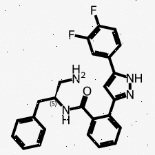 NC[C@H](Cc1ccccc1)NC(=O)c1ccccc1-c1cc(-c2ccc(F)c(F)c2)[nH]n1